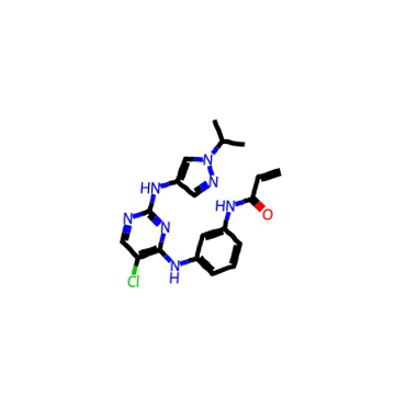 C=CC(=O)Nc1cccc(Nc2nc(Nc3cnn(C(C)C)c3)ncc2Cl)c1